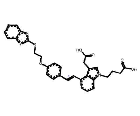 O=C(O)CCCn1cc(CC(=O)O)c2c(/C=C/c3ccc(OCCSc4nc5ccccc5s4)cc3)cccc21